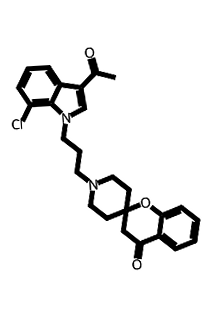 CC(=O)c1cn(CCCN2CCC3(CC2)CC(=O)c2ccccc2O3)c2c(Cl)cccc12